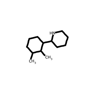 CC1CCCC(C2CCCCN2)C1C